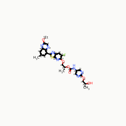 CCOc1cnc2c(-c3nc4cc(F)c(OC[C@@H](C)OC(=O)Nc5cnc(OC[C@@H](C)O)nc5)nc4s3)cc(C)cc2n1